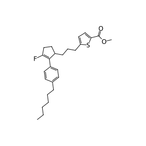 CCCCCCc1ccc(C2=C(F)CCC2CCCc2ccc(C(=O)OC)s2)cc1